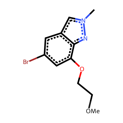 COCCOc1cc(Br)cc2cn(C)nc12